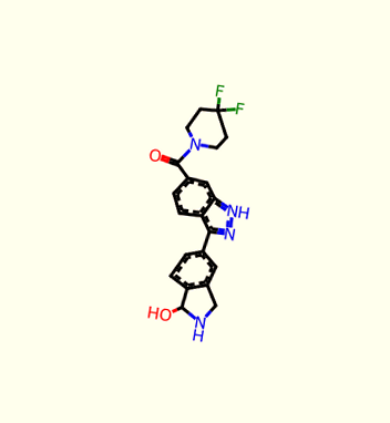 O=C(c1ccc2c(-c3ccc4c(c3)CNC4O)n[nH]c2c1)N1CCC(F)(F)CC1